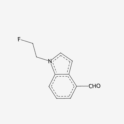 O=Cc1cccc2c1ccn2CCF